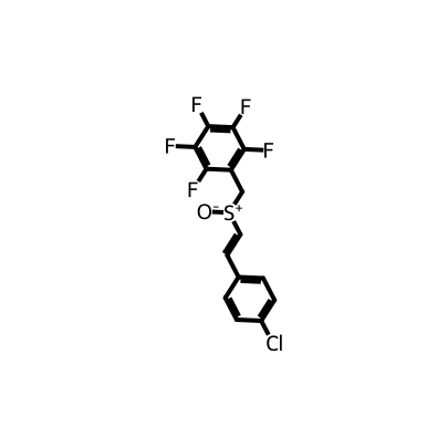 [O-][S+](C=Cc1ccc(Cl)cc1)Cc1c(F)c(F)c(F)c(F)c1F